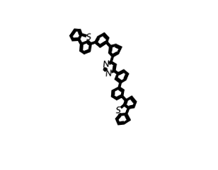 c1cc(-c2cccc(-c3cccc4c3sc3ccccc34)c2)cc(-c2cc(-c3cccc(-c4cccc(-c5cccc6c5sc5ccccc56)c4)c3)ncn2)c1